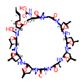 C/C=C/C[C@@H](C)[C@@H](O)[C@H]1C(=O)O[C@H](C)[C@H](NC(=O)O)C(=O)N(C)CC(=O)N(C)[C@@H](CC(C)C)C(=O)N[C@@H](CC(C)C)C(=O)N(C)[C@@H](CC(C)C)C(=O)N[C@@H](C)C(=O)N[C@H](C)C(=O)N(C)[C@@H](CC(C)C)C(=O)N[C@@H](CC(C)C)C(=O)N(C)[C@@H](C(C)C)C(=O)N1C